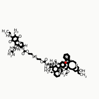 CCNC1=C(C)C(=O)C2=C(C1=O)[C@@H](COC(N)=O)[C@@]1(OC)[C@@H]3[C@H](CN21)N3C(=O)OCCSSCCOC(=O)NNC(=O)[C@@]1(O)C[C@]2(CC)C=CCN3CC[C@@]4(c5cc([C@@]6(C(=O)OC)CC7CN(CCc8c6[nH]c6ccccc86)C[C@](O)(CC)C7)c(OC)cc5N(C)[C@H]41)[C@@H]32